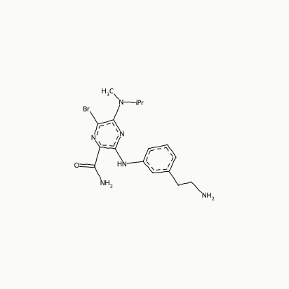 CC(C)N(C)c1nc(Nc2cccc(CCN)c2)c(C(N)=O)nc1Br